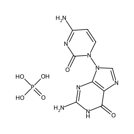 Nc1ccn(-n2cnc3c(=O)[nH]c(N)nc32)c(=O)n1.O=P(O)(O)O